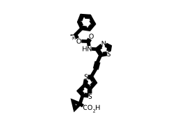 C[C@@H](OC(=O)Nc1ncsc1C#Cc1cc2sc(C3(C(=O)O)CC3)cc2s1)c1ccccc1